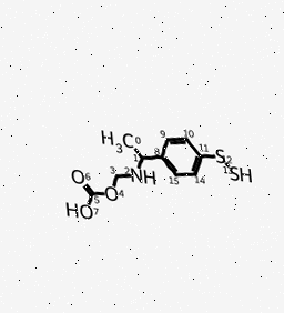 CC(NCOC(=O)O)c1ccc(SS)cc1